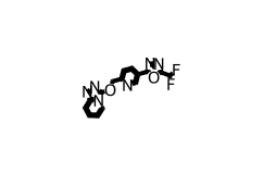 FC(F)c1nnc(-c2ccc(COc3nnc4ccccn34)nc2)o1